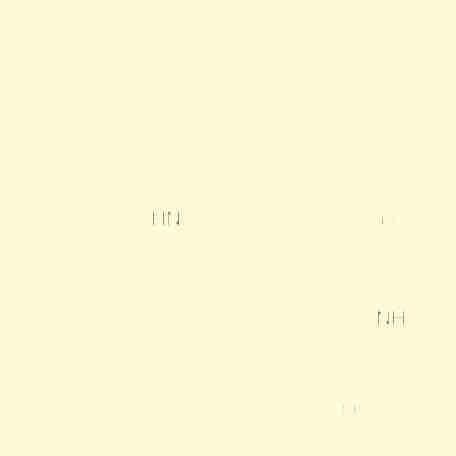 O=C1NC(=O)c2c1cc(NCc1ccccc1)c1ccccc21